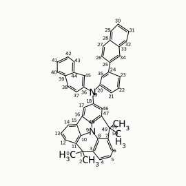 CC1(C)c2cccc3c2-n2c4c1cccc4c1cc(N(c4cccc(-c5ccc6ccccc6c5)c4)c4ccc5ccccc5c4)cc(c12)C3(C)C